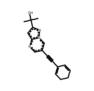 CC(C)(O)c1cc2ncc(C#CC3=CCCC=C3)cn2n1